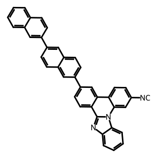 [C-]#[N+]c1ccc2c3cc(-c4ccc5cc(-c6ccc7ccccc7c6)ccc5c4)ccc3c3nc4ccccc4n3c2c1